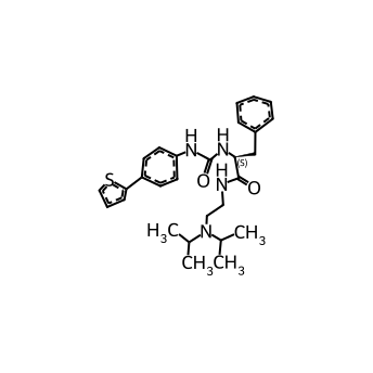 CC(C)N(CCNC(=O)[C@H](Cc1ccccc1)NC(=O)Nc1ccc(-c2cccs2)cc1)C(C)C